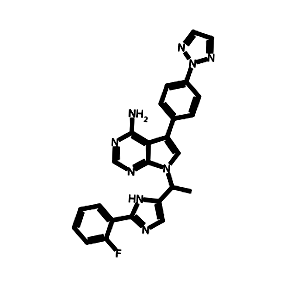 CC(c1cnc(-c2ccccc2F)[nH]1)n1cc(-c2ccc(-n3nccn3)cc2)c2c(N)ncnc21